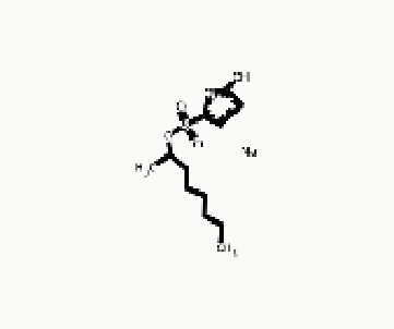 CCCCCCC(C)OS(=O)(=O)c1ccc(O)o1.[Na]